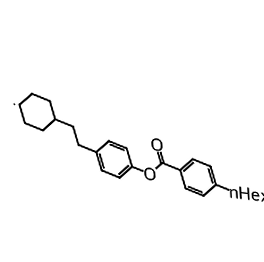 CCCCCCc1ccc(C(=O)Oc2ccc(CCC3CC[CH]CC3)cc2)cc1